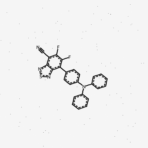 N#Cc1c(F)c(F)c(-c2ccc(N(c3ccccc3)c3ccccc3)cc2)c2nsnc12